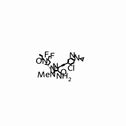 C=CC(=O)N1C[C@@H](Cn2nc(C#Cc3cc4ncn(C5CC5)c4cc3Cl)c(C(N)=O)c2NC)CC1C(F)F